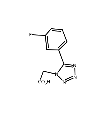 O=C(O)Cn1nnnc1-c1cccc(F)c1